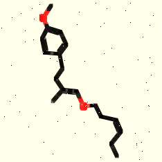 CC/C=C\CCOC=C(C)CCc1ccc(OC)cc1